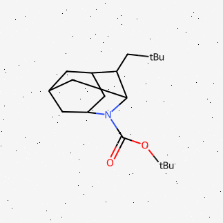 CC(C)(C)CC1C2CC3CC(C2)N(C(=O)OC(C)(C)C)C1C3